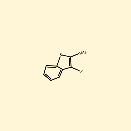 CSc1sc2ccccc2c1Br